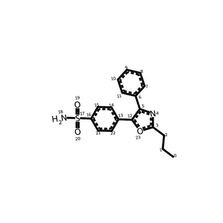 CCCc1nc(-c2ccccc2)c(-c2ccc(S(N)(=O)=O)cc2)o1